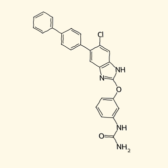 NC(=O)Nc1cccc(Oc2nc3cc(-c4ccc(-c5ccccc5)cc4)c(Cl)cc3[nH]2)c1